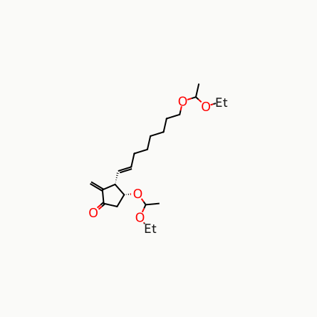 C=C1C(=O)C[C@@H](OC(C)OCC)[C@H]1C=CCCCCCCOC(C)OCC